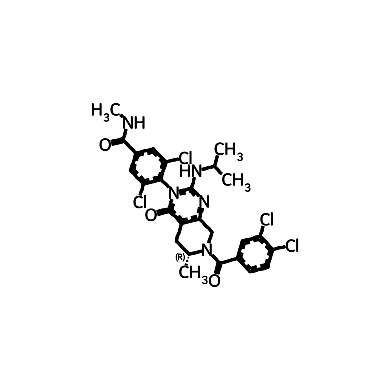 CNC(=O)c1cc(Cl)c(-n2c(NC(C)C)nc3c(c2=O)C[C@@H](C)N(C(=O)c2ccc(Cl)c(Cl)c2)C3)c(Cl)c1